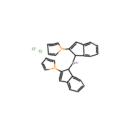 C1=C(p2cccc2)[CH]([Zr+2][CH]2C(p3cccc3)=Cc3ccccc32)c2ccccc21.[Cl-].[Cl-]